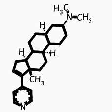 CN(C)[C@H]1CCC2[C@@H](CCC3[C@@H]2CCC2(C)C(c4ccncc4)=CC[C@@H]32)C1